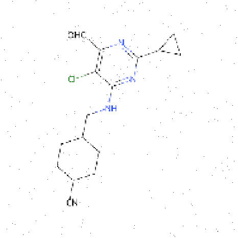 N#CC1CCC(CNc2nc(C3CC3)nc(C=O)c2Cl)CC1